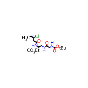 C/C=C(/Cl)CC(=O)N[C@@H](CNC(=O)CNC(=O)OC(C)(C)C)C(=O)OCC